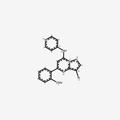 COc1ccccc1-c1cc(Nc2ccncc2)n2ncc(Br)c2n1